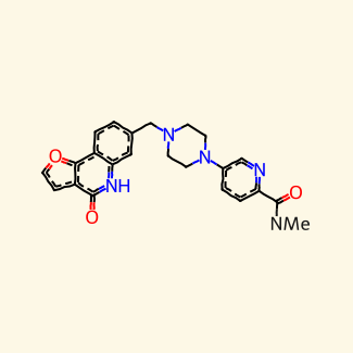 CNC(=O)c1ccc(N2CCN(Cc3ccc4c(c3)[nH]c(=O)c3ccoc34)CC2)cn1